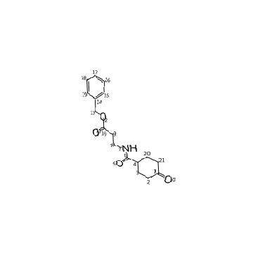 O=C1CCC(C(=O)NCCC(=O)OCc2ccccc2)CC1